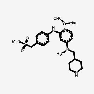 CC(C)(C)OC=O.CNS(=O)(=O)Cc1ccc(Nc2cc(N(C)CC3CCNCC3)ncn2)cc1